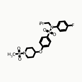 CC(C)CN(c1ccc(F)cc1)S(=O)(=O)c1ccc(OC2CCN(S(C)(=O)=O)CC2)cc1